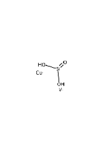 O=[Si](O)O.[Cu].[V]